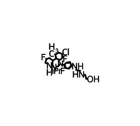 CC1CC(Cl)CC2C1C1CC(F)CNC1N(C(C)C)CN2c1c(F)cc(NCCNCCO)cc1F